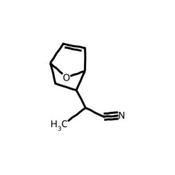 CC(C#N)C1CC2C=CC1O2